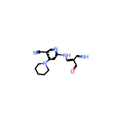 N#Cc1cnc(N/C=C(\C=N)C=O)cc1N1CCCCC1